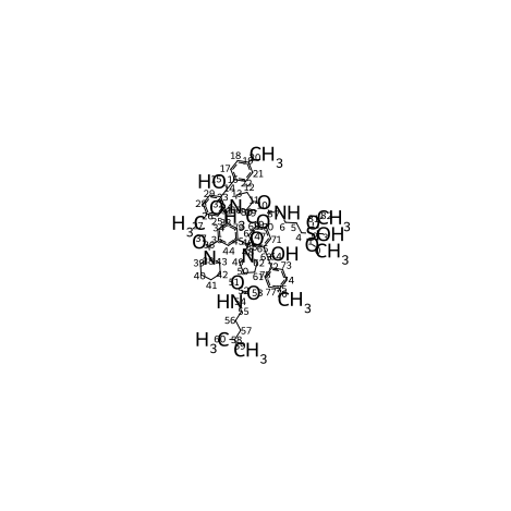 CO[Si](O)(CCCNC(=O)O[C@@H]1C[C@@H](C(O)(c2ccc(C)cc2)c2ccc(C)cc2)N(C(=O)c2cc(C(=O)N3CCCCC3)cc(C(=O)N3C[C@H](OC(=O)NCCCC(C)C)C[C@H]3C(O)(c3ccc(C)cc3)c3ccc(C)cc3)c2)C1)OC